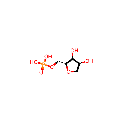 O=P(O)(O)OC[C@H]1OC[C@H](O)[C@@H]1O